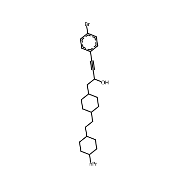 CCCC1CCC(CCC2CCC(CC(O)C#Cc3ccc(Br)cc3)CC2)CC1